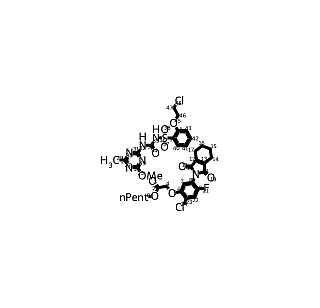 CCCCCOC(=O)COc1cc(N2C(=O)C3=C(CCCC3)C2=O)c(F)cc1Cl.COc1nc(C)nc(NC(=O)NS(=O)(=O)c2ccccc2OCCCl)n1